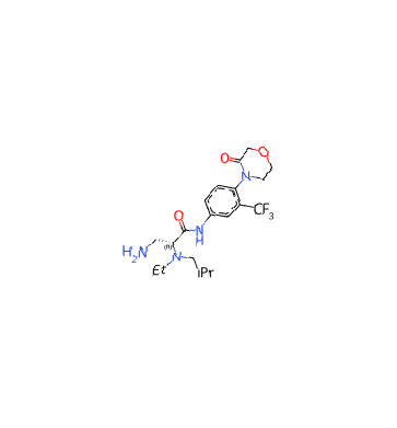 CCN(CC(C)C)[C@H](CN)C(=O)Nc1ccc(N2CCOCC2=O)c(C(F)(F)F)c1